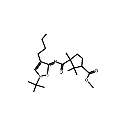 CCCCc1cn(C(C)(C)C)sc1=NC(=O)C1(C)CCC(C(=O)OC)C1(C)C